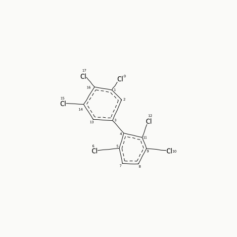 Clc1cc(-c2c(Cl)ccc(Cl)c2Cl)cc(Cl)c1Cl